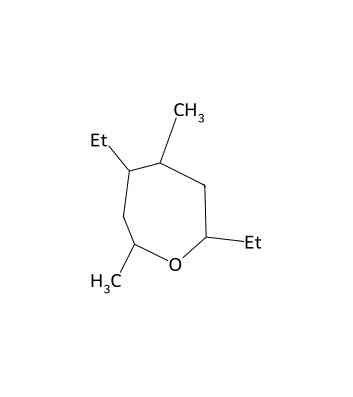 CCC1CC(C)C(CC)CC(C)O1